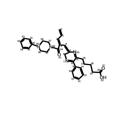 C=C/C=C(\C=C1/CN=C(c2ccccc2)C(CCCCC(=O)O)=N1)C(=O)N1CCN(c2ccccc2)CC1